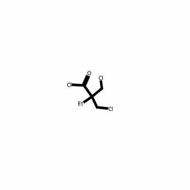 CCC(CCl)(CCl)C(=O)Cl